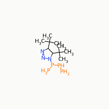 CC(C)(C)C1N=NN(P(P)PP)C1C(C)(C)C